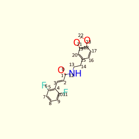 O=C(C=Cc1c(F)cccc1F)NCCc1ccc2c(c1)OCO2